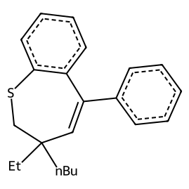 CCCCC1(CC)C=C(c2ccccc2)c2ccccc2SC1